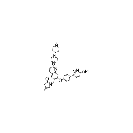 CCCc1ccc(-c2ccc(Oc3cc4nc(N5CCN(C6CCN(C)CC6)CC5)ccc4cc3CN3C[C@@H](C)CC3=O)cc2)nn1